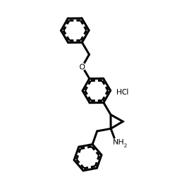 Cl.NC1(Cc2ccccc2)CC1c1ccc(OCc2ccccc2)cc1